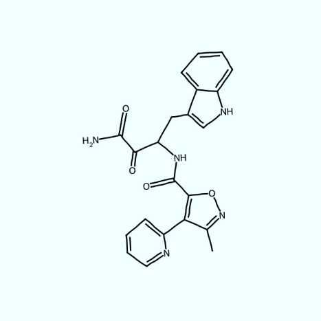 Cc1noc(C(=O)NC(Cc2c[nH]c3ccccc23)C(=O)C(N)=O)c1-c1ccccn1